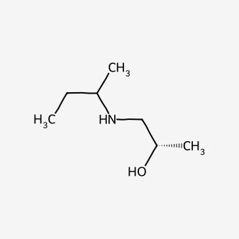 CCC(C)NC[C@H](C)O